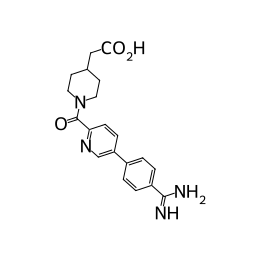 N=C(N)c1ccc(-c2ccc(C(=O)N3CCC(CC(=O)O)CC3)nc2)cc1